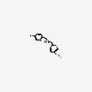 Fc1ccc(CNCc2ccc(C(F)(F)F)cn2)nc1